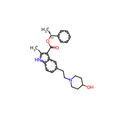 Cc1[nH]c2ccc(CCN3CCC(O)CC3)cc2c1C(=O)O[C@@H](C)c1ccccc1